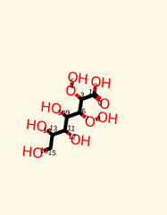 O=C(O)C(OO)C(OO)C(O)C(O)C(O)CO